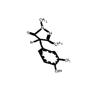 COc1ccc(C2(Br)C(=O)N(C)N=C2C)cc1C